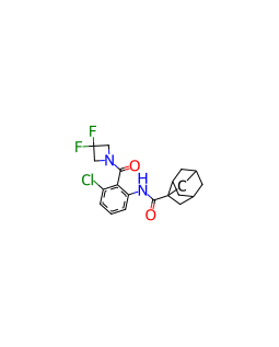 O=C(c1c(Cl)cccc1NC(=O)C12CC3CC(CC1C3)C2)N1CC(F)(F)C1